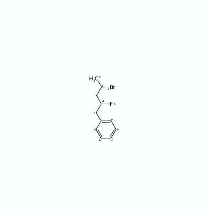 CC(Br)CC(F)Cc1ccccc1